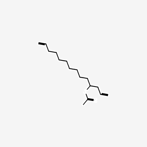 C=CCCCCCCCCC(CC=C)OC(C)=O